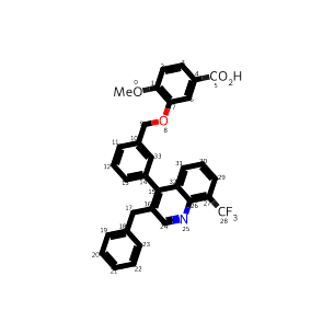 COc1ccc(C(=O)O)cc1OCc1cccc(-c2c(Cc3ccccc3)cnc3c(C(F)(F)F)cccc23)c1